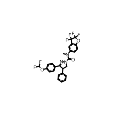 CN(C(=O)N1CC(c2ccccc2)C(c2ccc(OC(F)F)cc2)=N1)c1ccc2c(c1)C(F)(F)C(F)(F)O2